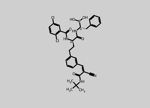 CC(C)(C)NC(=O)C(C#N)=Cc1cccc(CC[C@@H](NC(=O)c2cc(Cl)ccc2Cl)C(=O)N[C@@H](Cc2ccccc2)B(O)O)c1